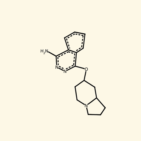 Nc1nnc(OC2CCN3CCCC3C2)c2ccccc12